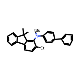 CCc1ccc2c(c1N(c1ccc(-c3ccccc3)cc1)C(C)(C)C)C(C)(C)c1ccccc1-2